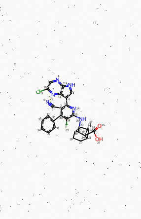 N#Cc1c(-c2c[nH]c3ncc(Cl)nc23)nc(NC2C3CCC(CC3)[C@H]2C(=O)O)c(F)c1-c1ccccc1